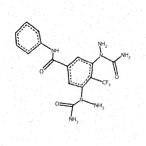 NC(=O)N(N)c1cc(C(=O)Nc2ccccc2)cc(N(N)C(N)=O)c1C(F)(F)F